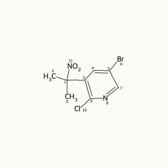 CC(C)(c1cc(Br)cnc1Cl)[N+](=O)[O-]